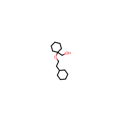 OCC1(OCCC2CCCCC2)CCCCC1